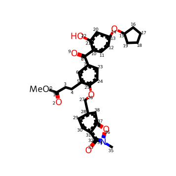 COC(=O)CCc1cc(C(=O)c2ccc(OC3CCCC3)cc2O)ccc1OCc1ccc2c(=O)n(C)oc2c1